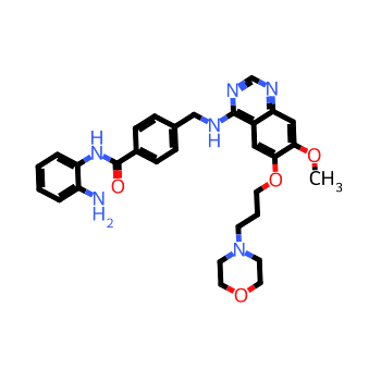 COc1cc2ncnc(NCc3ccc(C(=O)Nc4ccccc4N)cc3)c2cc1OCCCN1CCOCC1